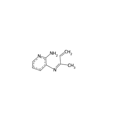 C=C/C(C)=N\c1cccnc1N